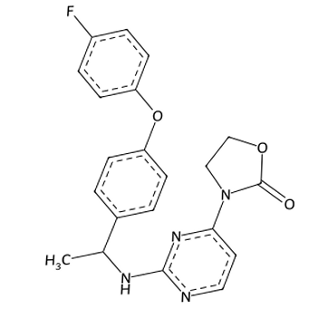 CC(Nc1nccc(N2CCOC2=O)n1)c1ccc(Oc2ccc(F)cc2)cc1